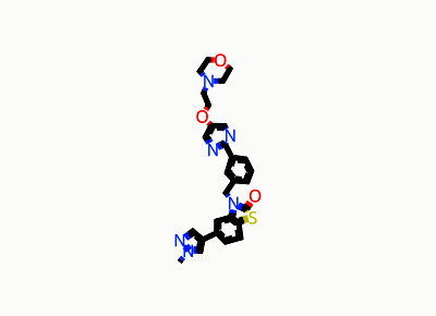 Cn1cc(-c2ccc3sc(=O)n(Cc4cccc(-c5ncc(OCCN6CCOCC6)cn5)c4)c3c2)cn1